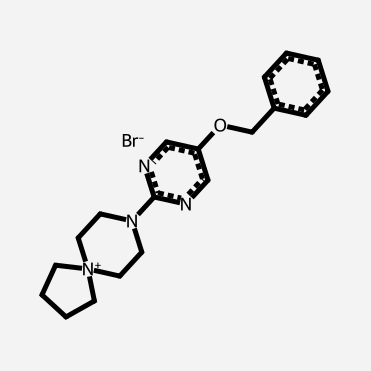 [Br-].c1ccc(COc2cnc(N3CC[N+]4(CCCC4)CC3)nc2)cc1